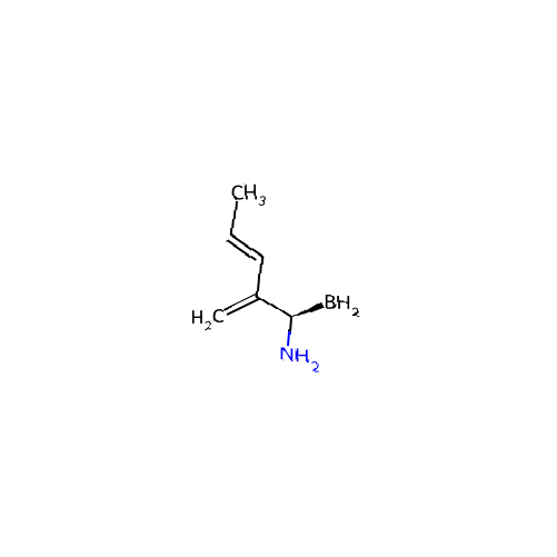 B[C@@H](N)C(=C)C=CC